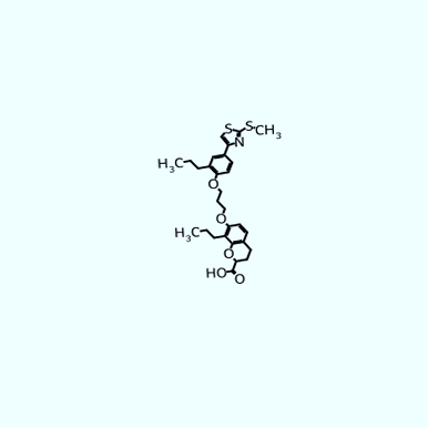 CCCc1cc(-c2csc(SC)n2)ccc1OCCCOc1ccc2c(c1CCC)OC(C(=O)O)CC2